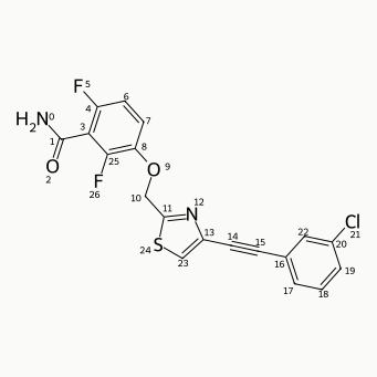 NC(=O)c1c(F)ccc(OCc2nc(C#Cc3cccc(Cl)c3)cs2)c1F